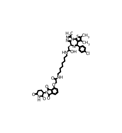 Cc1sc2c(c1C)C(c1ccc(Cl)cc1)=N[C@@H](CC(O)NCCCCCCCCNC(=O)COc1cccc3c1C(=O)N(C1CCC(=O)NC1=O)C3=O)c1nnc(C)n1-2